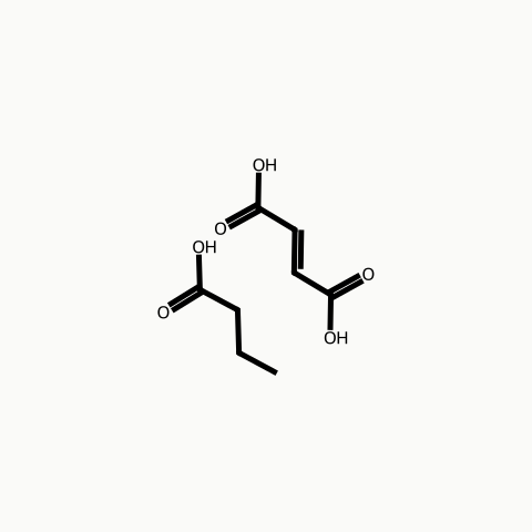 CCCC(=O)O.O=C(O)/C=C/C(=O)O